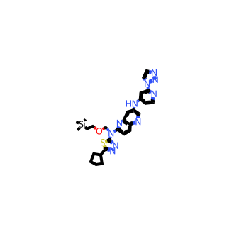 C[Si](C)(C)CCOCN(c1ccc2ncc(Nc3ccnc(-n4ccnn4)c3)cc2n1)c1nnc(C2CCCC2)s1